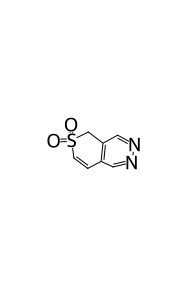 O=S1(=O)C=Cc2cnncc2C1